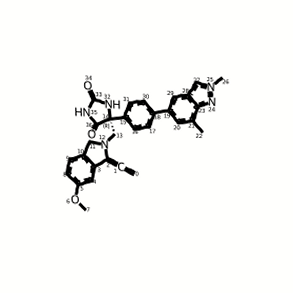 C=C=C1c2cc(OC)ccc2CN1C[C@@]1(c2ccc(-c3cc(C)c4nn(C)cc4c3)cc2)NC(=O)NC1=O